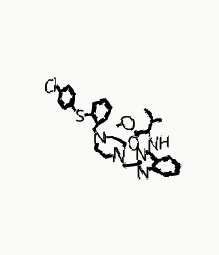 COC(=O)[C@@H](Nc1nc(CN2CCN(Cc3ccccc3Sc3ccc(Cl)cc3)CC2)nc2ccccc12)C(C)C